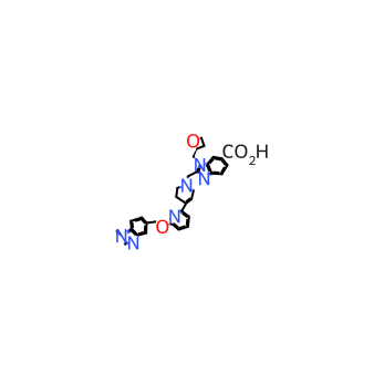 Cn1cnc2cc(COc3cccc(C4=CCN(Cc5nc6ccc(C(=O)O)cc6n5C[C@@H]5CCO5)CC4)n3)ccc21